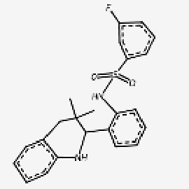 CC1(C)Cc2ccccc2NC1c1ccccc1NS(=O)(=O)c1cccc(F)c1